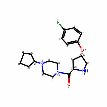 O=C([C@H]1C[C@H](Oc2ccc(F)cc2)CN1)N1CCN(C2CCCC2)CC1